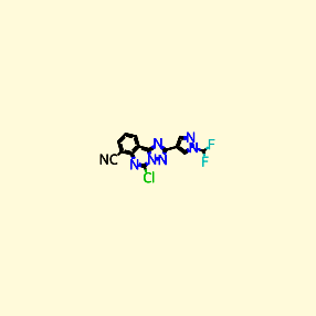 N#Cc1cccc2c1nc(Cl)n1nc(-c3cnn(C(F)F)c3)nc21